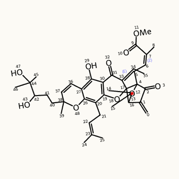 C=C1C(=O)C2(C/C=C(/C)C(=O)OC)OC(C)(C)C1C21Oc2c(CC=C(C)C)c3c(c(O)c2C(=O)/C1=C/C)C=CC(C)(CCC(O)C(C)(C)O)O3